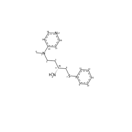 CN(CC[C@@H](N)CSc1ccccc1)c1ccncc1